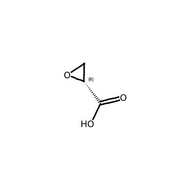 O=C(O)[C@H]1CO1